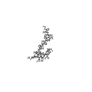 CCCC(=O)NCC(=O)NC(C(=O)NCC(=O)NCC(=O)NCC(=O)N[C@@H](CCN)C(=O)NC(C(=O)N[C@@H](CC(C)C)C(=O)NCC(N)=O)C(C)C)[C@@H](C)CC